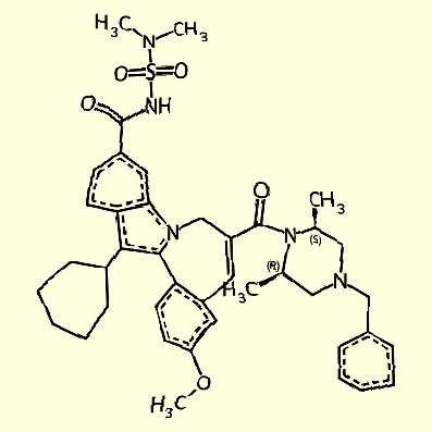 COc1ccc2c(c1)C=C(C(=O)N1[C@H](C)CN(Cc3ccccc3)C[C@@H]1C)Cn1c-2c(C2CCCCC2)c2ccc(C(=O)NS(=O)(=O)N(C)C)cc21